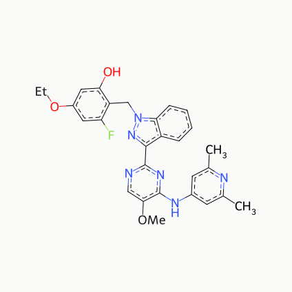 CCOc1cc(O)c(Cn2nc(-c3ncc(OC)c(Nc4cc(C)nc(C)c4)n3)c3ccccc32)c(F)c1